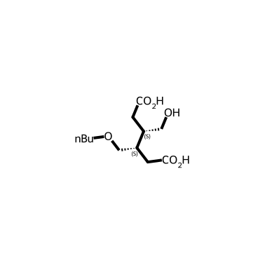 CCCCOC[C@@H](CC(=O)O)[C@@H](CO)CC(=O)O